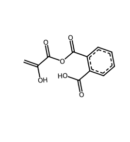 C=C(O)C(=O)OC(=O)c1ccccc1C(=O)O